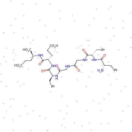 CC(C)C[C@H](NC(=O)CNC(=O)CNC(=O)[C@H](CC(C)C)NC(=O)[C@@H](N)CC(C)C)C(=O)N[C@@H](CCC(=O)O)C(=O)N[C@@H](CCC(=O)O)C(=O)O